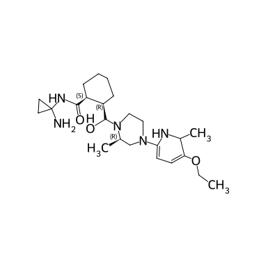 CCOC1=CC=C(N2CCN(C(O)[C@@H]3CCCC[C@@H]3C(=O)NC3(N)CC3)[C@H](C)C2)NC1C